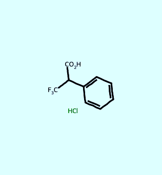 Cl.O=C(O)C(c1ccccc1)C(F)(F)F